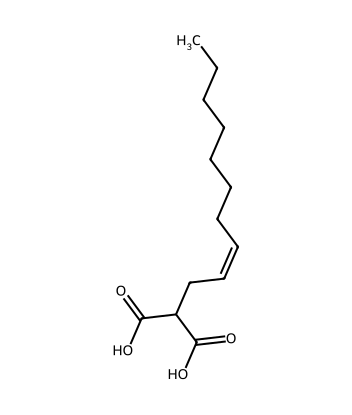 CCCCCCC/C=C\CC(C(=O)O)C(=O)O